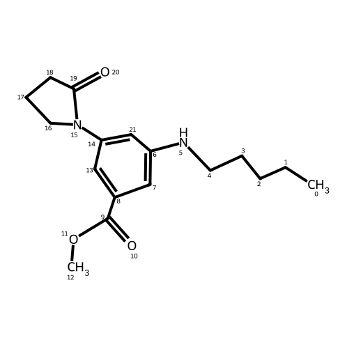 CCCCCNc1cc(C(=O)OC)cc(N2CCCC2=O)c1